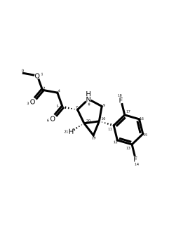 COC(=O)CC(=O)[C@@H]1NC[C@@]2(c3cc(F)ccc3F)C[C@@H]12